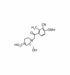 COc1ccc(C(=O)CN2CCN(C(=O)O)C[C@H]2CO)c(C)c1C#N